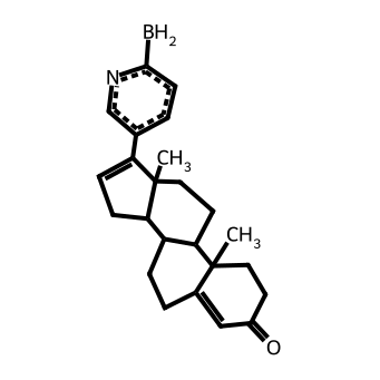 Bc1ccc(C2=CCC3C4CCC5=CC(=O)CCC5(C)C4CCC23C)cn1